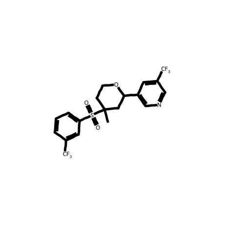 CC1(S(=O)(=O)c2cccc(C(F)(F)F)c2)CCOC(c2cncc(C(F)(F)F)c2)C1